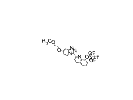 COCCOc1ccn2c(-c3ccc4cccc(OS(=O)(=O)C(F)(F)F)c4n3)nnc2c1